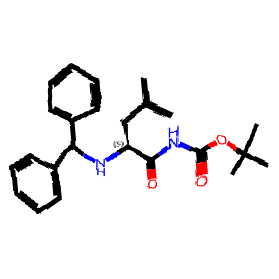 CC(C)C[C@H](NC(c1ccccc1)c1ccccc1)C(=O)NC(=O)OC(C)(C)C